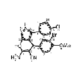 COc1ccc(C2C(C#N)=C(N)Oc3n[nH]c(-c4ccc(Cl)cc4)c32)cc1Br